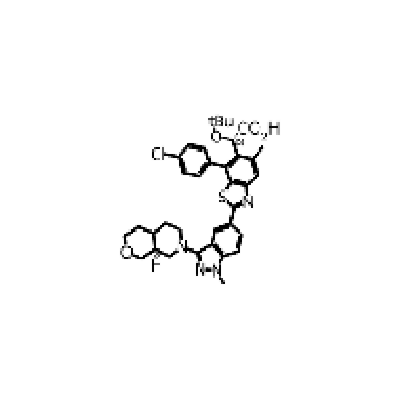 Cc1cc2nc(-c3ccc4c(c3)c(N3CCC5CCOC[C@@H]5C3)nn4C)sc2c(-c2ccc(Cl)cc2)c1[C@H](OC(C)(C)C)C(=O)O